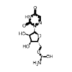 NP(O)OC[C@H]1O[C@@H](n2ncc(=O)[nH]c2=O)[C@H](O)[C@@H]1O